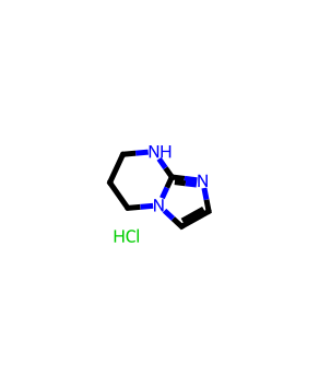 Cl.c1cn2c(n1)NCCC2